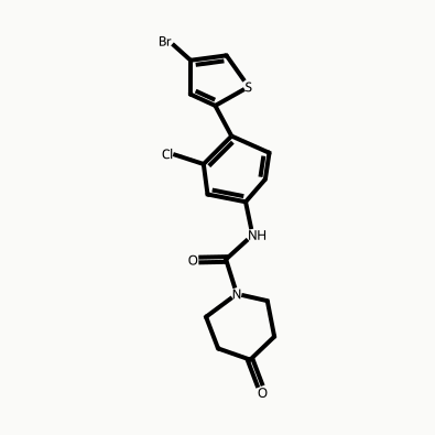 O=C1CCN(C(=O)Nc2ccc(-c3cc(Br)cs3)c(Cl)c2)CC1